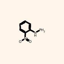 O=[N+]([O-])c1ccccc1NP